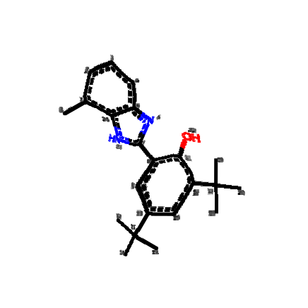 Cc1cccc2nc(-c3cc(C(C)(C)C)cc(C(C)(C)C)c3O)[nH]c12